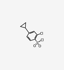 O=S(=O)(Cl)c1ccc(C2CC2)cc1Cl